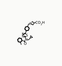 Cc1ccccc1C(=O)N(CC1CC1)c1nnc(-c2ccc(CN3CC(C(=O)O)C3)cc2)s1